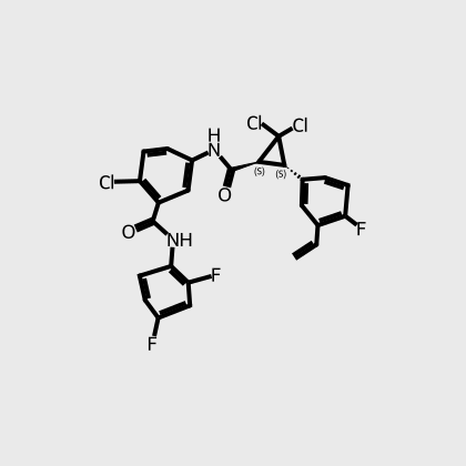 C=Cc1cc([C@@H]2[C@@H](C(=O)Nc3ccc(Cl)c(C(=O)Nc4ccc(F)cc4F)c3)C2(Cl)Cl)ccc1F